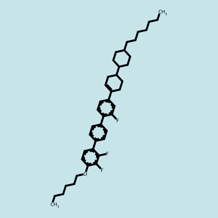 CCCCCCCC1CCC(C2CC=C(c3ccc(-c4ccc(-c5ccc(OCCCCCC)c(F)c5F)cc4)c(F)c3)CC2)CC1